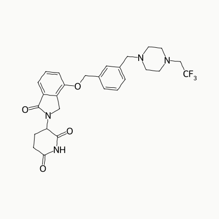 O=C1CCC(N2Cc3c(OCc4cccc(CN5CCN(CC(F)(F)F)CC5)c4)cccc3C2=O)C(=O)N1